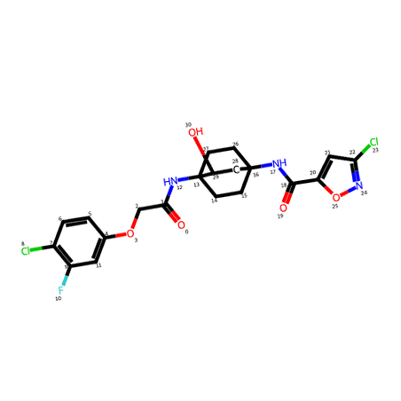 O=C(COc1ccc(Cl)c(F)c1)NC12CCC(NC(=O)c3cc(Cl)no3)(CC1)CC2O